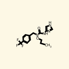 CCCON(Cc1ccc(C(F)(F)F)cc1)C(=O)Nc1c[nH]cn1